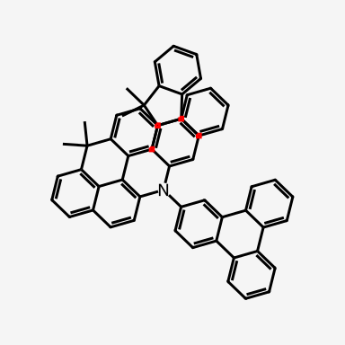 CC1(C)c2ccccc2-c2ccc(N(c3ccc4c5ccccc5c5ccccc5c4c3)c3ccc4cccc5c4c3-c3cc(-c4ccccc4)ccc3C5(C)C)cc21